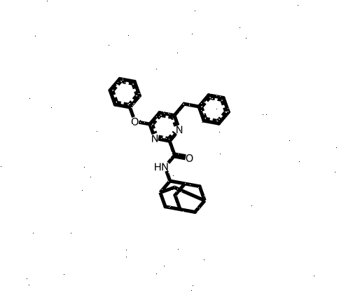 O=C(NC1C2CC3CC(C2)CC1C3)c1nc(Cc2ccccc2)cc(Oc2ccccc2)n1